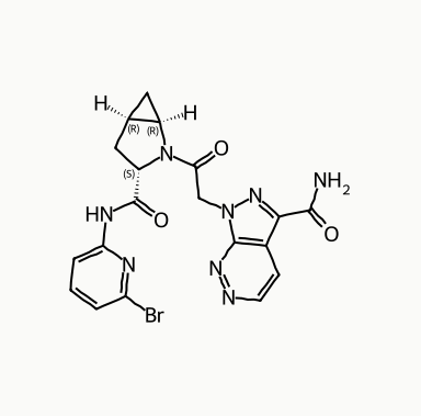 NC(=O)c1nn(CC(=O)N2[C@@H]3C[C@@H]3C[C@H]2C(=O)Nc2cccc(Br)n2)c2nnccc12